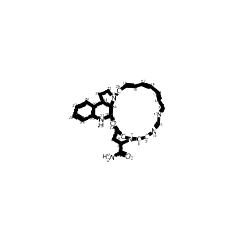 NC(=O)C1CC2CN1CC\N=C/N=C/C=C/C=C\C=C\CN1CCC3C4C=CC=CC4NC(O2)C31